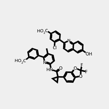 Cc1ccc(NC(=O)C2(c3ccc4c(c3)OC(F)(F)O4)CC2)nc1-c1cccc(C(=O)O)c1.O=C(O)c1ccc(-c2ccc3cc(O)ccc3n2)c(Cl)c1